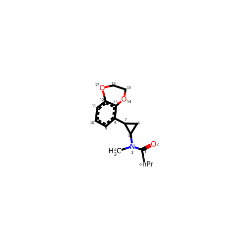 CCCC(=O)N(C)C1CC1c1cccc2c1OCCO2